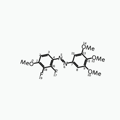 COc1ccc(N=Nc2cc(OC)c(OC)c(OC)c2)c(F)c1F